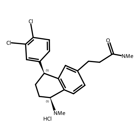 CNC(=O)CCc1ccc2c(c1)[C@H](c1ccc(Cl)c(Cl)c1)CC[C@@H]2NC.Cl